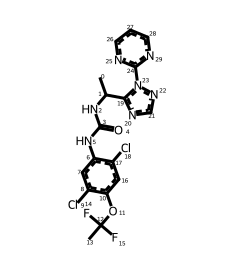 CC(NC(=O)Nc1cc(Cl)c(OC(C)(F)F)cc1Cl)c1ncnn1-c1ncccn1